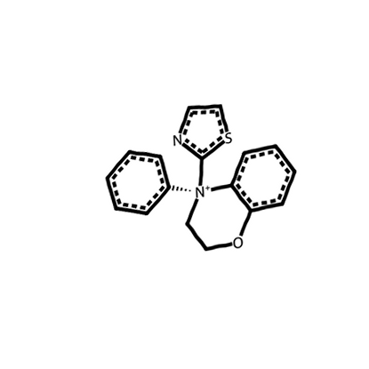 c1ccc([N@@+]2(c3nccs3)CCOc3ccccc32)cc1